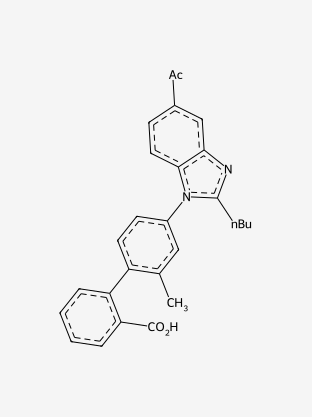 CCCCc1nc2cc(C(C)=O)ccc2n1-c1ccc(-c2ccccc2C(=O)O)c(C)c1